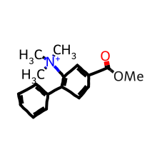 COC(=O)c1ccc(-c2ccccc2)c([N+](C)(C)C)c1